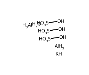 O.O=S(=O)(O)O.O=S(=O)(O)O.O=S(=O)(O)O.[AlH3].[AlH3].[KH]